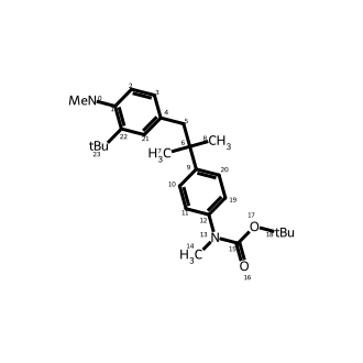 CNc1ccc(CC(C)(C)c2ccc(N(C)C(=O)OC(C)(C)C)cc2)cc1C(C)(C)C